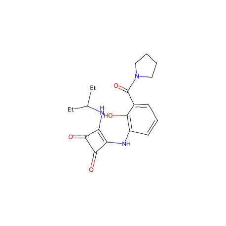 CCC(CC)Nc1c(Nc2cccc(C(=O)N3CCCC3)c2O)c(=O)c1=O